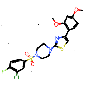 COc1ccc(-c2csc(N3CCN(S(=O)(=O)c4ccc(F)c(Cl)c4)CC3)n2)c(OC)c1